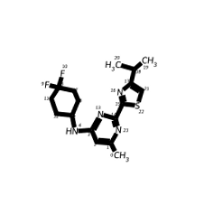 Cc1cc(NC2CCC(F)(F)CC2)nc(-c2nc(C(C)C)cs2)n1